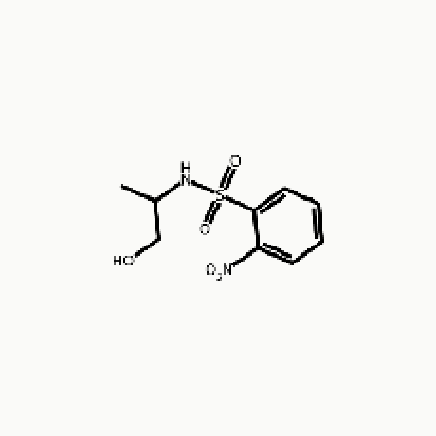 CC(CO)NS(=O)(=O)c1ccccc1[N+](=O)[O-]